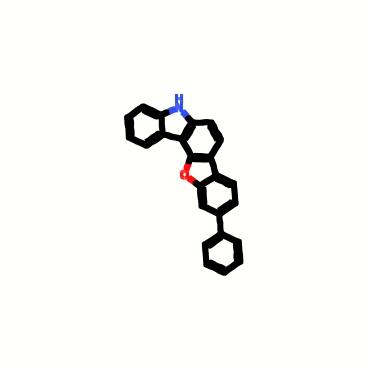 c1ccc(-c2ccc3c(c2)oc2c3ccc3[nH]c4ccccc4c32)cc1